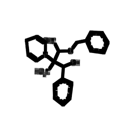 O=CC(OCc1ccccc1)C(C(=O)O)(C(O)c1ccccc1)N1C=CCC=C1